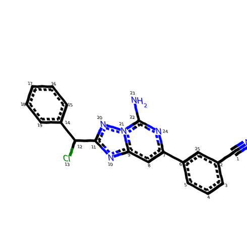 N#Cc1cccc(-c2cc3nc(C(Cl)c4ccccc4)nn3c(N)n2)c1